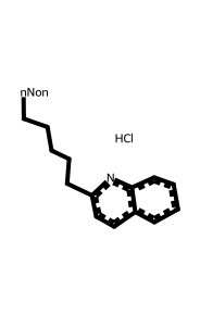 CCCCCCCCCCCCCCc1ccc2ccccc2n1.Cl